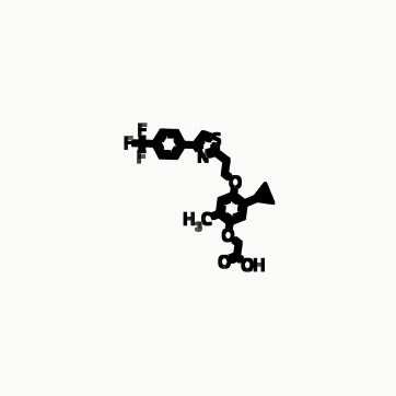 Cc1cc(OCCc2nc(-c3ccc(C(F)(F)F)cc3)cs2)c(C2CC2)cc1OCC(=O)O